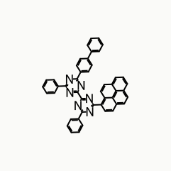 c1ccc(-c2ccc(-c3nc(-c4ccccc4)nc(-c4nc(-c5ccccc5)nc(-c5ccc6ccc7cccc8ccc5c6c78)n4)n3)cc2)cc1